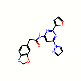 O=C(Cc1ccc2c(c1)OCO2)Nc1cc(-n2cccn2)nc(-c2ccco2)n1